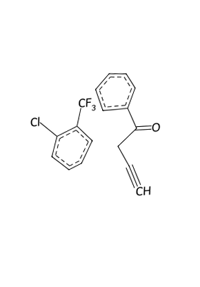 C#CCC(=O)c1ccccc1.FC(F)(F)c1ccccc1Cl